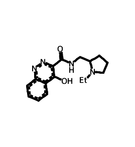 CCN1CCCC1CNC(=O)c1nnc2ccccc2c1O